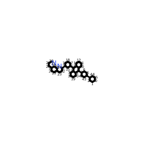 c1ccc(-c2ccc(-c3c4ccccc4c(-c4cccc(-c5ccc6ccc7cccnc7c6n5)c4)c4ccccc34)cc2)cc1